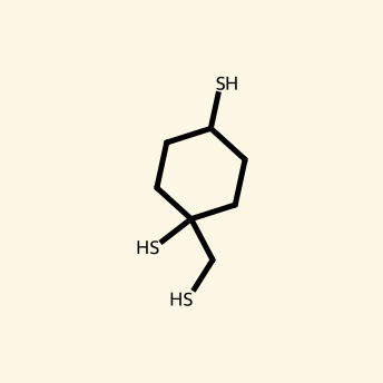 SCC1(S)CCC(S)CC1